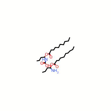 CCCCCCCCCC(=O)OC(CCC)NC(=O)O.CCCCCCCCCC(=O)OC(N)CCC